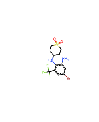 Nc1cc(Br)cc(C(F)(F)F)c1NC1CCS(=O)(=O)CC1